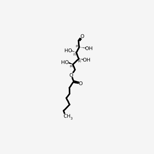 CCCCCCC(=O)OC[C@@H](O)[C@@H](O)[C@H](O)[C@@H](O)C=O